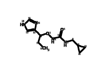 CCC(ONC(=O)NCC1CC1)c1c[nH]cn1